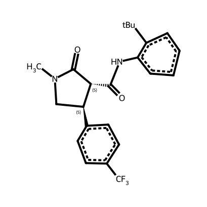 CN1C[C@H](c2ccc(C(F)(F)F)cc2)[C@@H](C(=O)Nc2ccccc2C(C)(C)C)C1=O